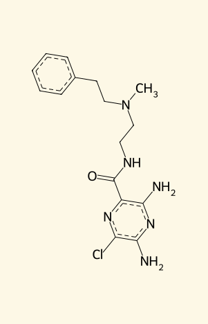 CN(CCNC(=O)c1nc(Cl)c(N)nc1N)CCc1ccccc1